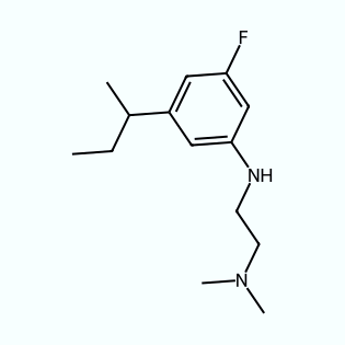 CCC(C)c1cc(F)cc(NCCN(C)C)c1